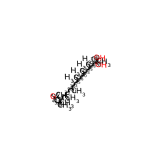 CC1=C(/C=C/C(C)=C/C=C/C(C)=C/C=C/C=C(C)/C=C/C=C(C)/C=C/C=C(C)/C=C/C(O)C(C)(C)O)C(C)(C)CCC1=O